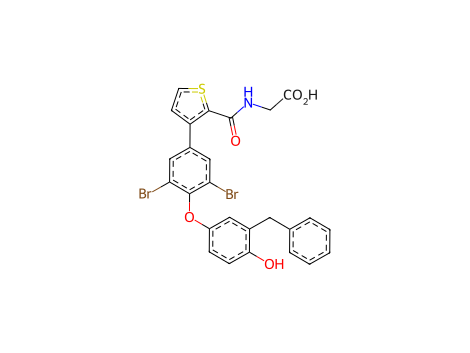 O=C(O)CNC(=O)c1sccc1-c1cc(Br)c(Oc2ccc(O)c(Cc3ccccc3)c2)c(Br)c1